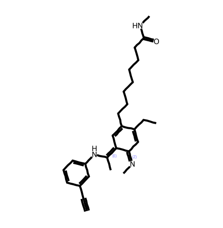 C#Cc1cccc(N/C(C)=C2\C=C(CCCCCCCC(=O)NC)C(CC)=C\C2=N\C)c1